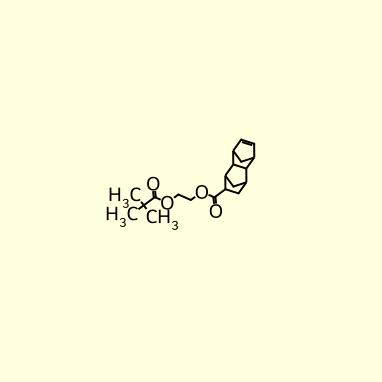 CC(C)(C)C(=O)OCCOC(=O)C1CC2CC1C1C3C=CC(C3)C21